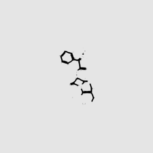 CSCC1=C(C(=O)O)N2C(=O)[C@@H](NC(=O)/C(=N/O)c3ccccc3)[C@H]2SC1